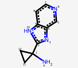 NC1(c2nc3cnccc3[nH]2)CC1